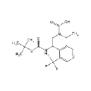 CCN(CC(NC(=O)OC(C)(C)C)c1ccccc1C(F)(F)F)C(=O)O